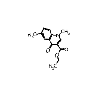 CCOC(=O)c1cn(C)c2ccc(C)cc2c1=O